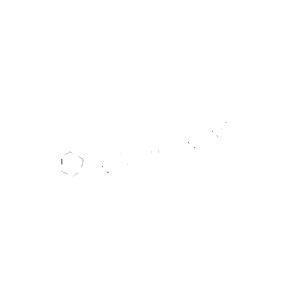 CC(=O)N1CCN(CCOCC2C3CN(Cc4ccccc4)CC23)CC1